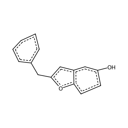 Oc1ccc2oc(Cc3ccccc3)cc2c1